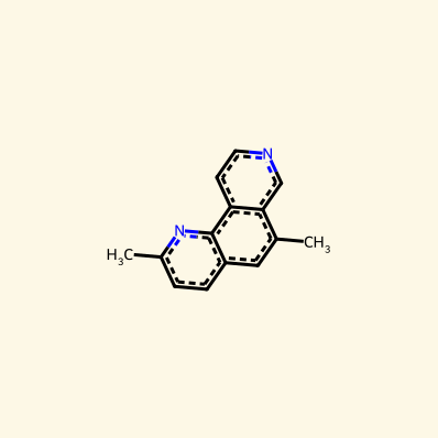 Cc1ccc2cc(C)c3cnccc3c2n1